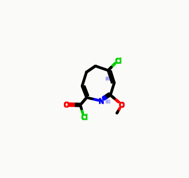 COC1=N/C(C(=O)Cl)=CCC/C(Cl)=C\1